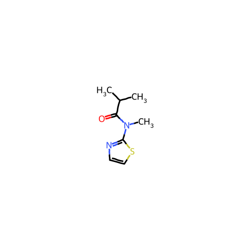 CC(C)C(=O)N(C)c1nccs1